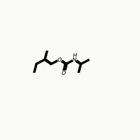 CCC(C)COC(=O)NC(C)C